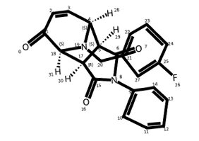 O=C1C=C[C@H]2[C@H]3C(=O)N(c4ccccc4)C(=O)[C@H]3[C@@H]1N2Cc1cccc(F)c1